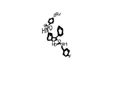 CC(C)(C)c1ccc(S(=O)(=O)Nc2ccc3[nH]c(OC(=O)NCc4ccc(F)cc4)c(-c4ccccc4)c3c2)cc1